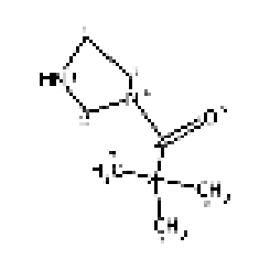 CC(C)(C)C(=O)N1CCNC1